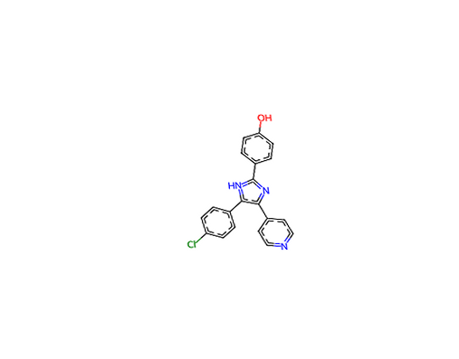 Oc1ccc(-c2nc(-c3ccncc3)c(-c3ccc(Cl)cc3)[nH]2)cc1